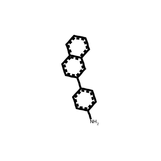 Nc1ccc(-c2[c]c3ccccc3cc2)cc1